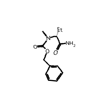 CC[C@H](C(N)=O)N(C)C(=O)OCc1ccccc1